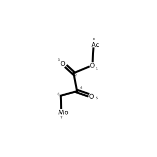 CC(=O)OC(=O)C(=O)[CH2][Mo]